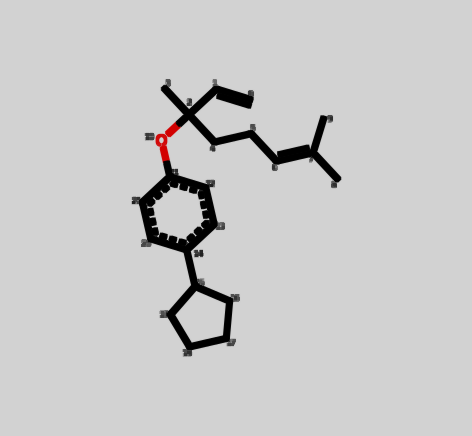 C=CC(C)(CCC=C(C)C)Oc1ccc(C2CCCC2)cc1